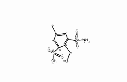 Cc1cc(S(N)(=O)=O)c(C[O])c(S(=O)(=O)O)c1